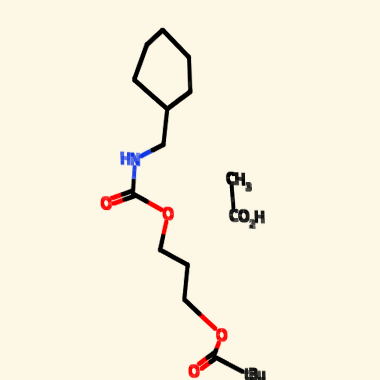 CC(=O)O.CC(C)(C)C(=O)OCCCOC(=O)NCC1CCCCC1